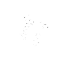 CCc1ccc(COc2ccc(-n3c(=O)cc(C(F)(F)F)n(C)c3=O)cc2)c(OC(C)C(=O)OC)c1.COc1cc(OC)nc(NC(=O)NS(=O)(=O)c2ncccc2C(F)(F)F)n1